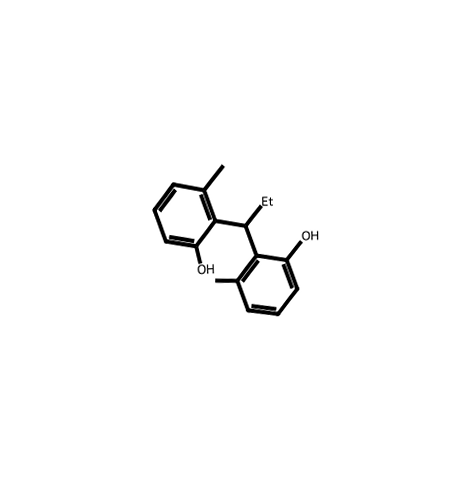 CCC(c1c(C)cccc1O)c1c(C)cccc1O